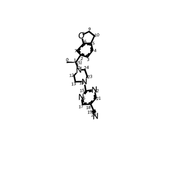 C[C@@H](c1ccc2c(c1)OCC2)N1CCN(c2ncc(C#N)cn2)CC1